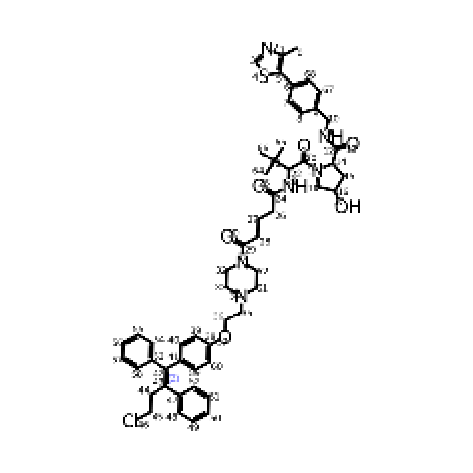 Cc1ncsc1-c1ccc(CNC(=O)C2CC(O)CN2C(=O)C(NC(=O)CCCC(=O)N2CCN(CCOc3ccc(/C(=C(/CCCl)c4ccccc4)c4ccccc4)cc3)CC2)C(C)(C)C)cc1